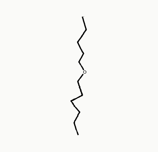 [CH2]CCCCOCCCCCC